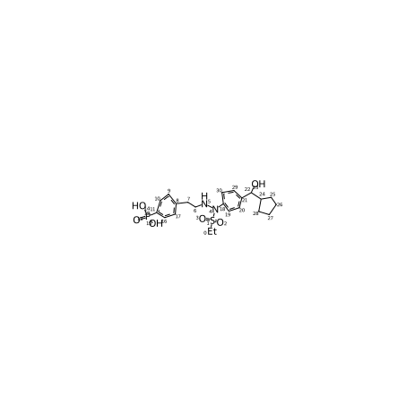 CCS(=O)(=O)N(NCCc1ccc(P(=O)(O)O)cc1)c1ccc(C(O)C2CCCC2)cc1